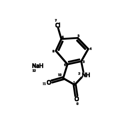 O=C1Nc2ccc(Cl)cc2C1=O.[NaH]